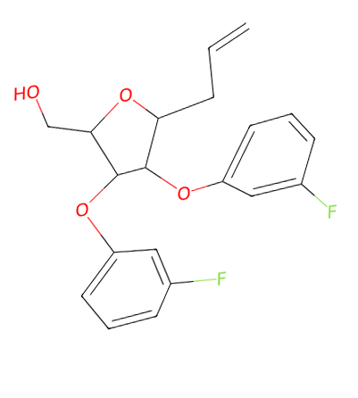 C=CCC1OC(CO)C(Oc2cccc(F)c2)C1Oc1cccc(F)c1